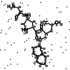 CC(C)CC(COc1ccc2ccccc2c1)NC(=O)C1CC(NC(=O)CN)CN1